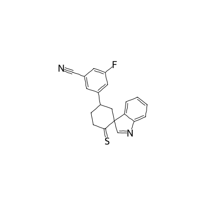 N#Cc1cc(F)cc(C2CCC(=S)C3(C=Nc4ccccc43)C2)c1